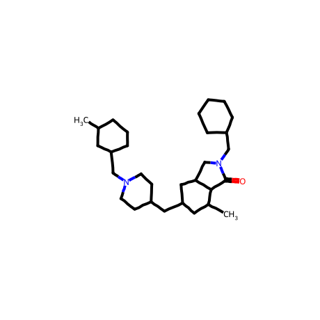 CC1CCCC(CN2CCC(CC3CC(C)C4C(=O)N(CC5CCCCC5)CC4C3)CC2)C1